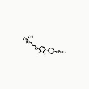 CCCCCC1CCC(c2ccc(OCCCO[PH](=O)O)c(F)c2F)CC1